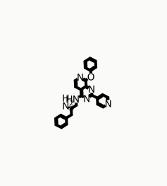 N[C@@H](CNc1nc(-c2ccncc2)nc2c(Oc3ccccc3)nccc12)Cc1ccccc1